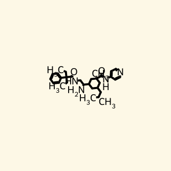 CCC(CC)(C(=O)NCC(N)C1CC(CC(C)C)CC(C)(C(=O)Nc2ccncc2)C1)c1ccccc1